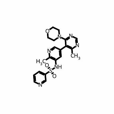 Cc1ncc(-c2c(C)ncnc2N2CCOCC2)cc1NS(=O)(=O)c1cccnc1